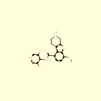 COc1ccc(C(=O)Nc2c(Cl)cncc2Cl)c2c3c(sc12)CNCC3